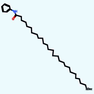 CCCCCCCCCCCCCCCCCCCCCCCCCCCCCCCCCCCC(=O)Nc1ccccc1